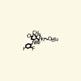 Cn1c(=O)cc(Nc2ccc(I)cc2F)c2c(=O)n(OCCOC(C)(C)C)cnc21